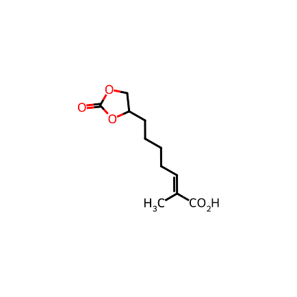 CC(=CCCCCC1COC(=O)O1)C(=O)O